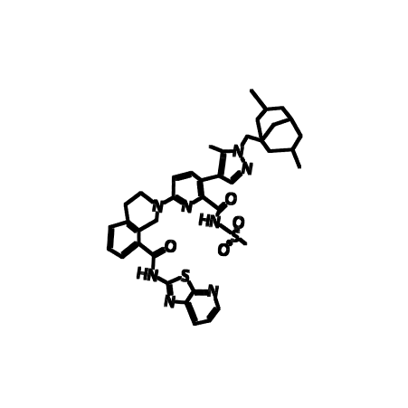 Cc1c(-c2ccc(N3CCc4cccc(C(=O)Nc5nc6cccnc6s5)c4C3)nc2C(=O)NS(C)(=O)=O)cnn1CC12CC(C)CC(CC(C)C1)C2